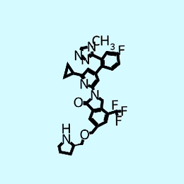 Cn1cnnc1-c1cc(F)ccc1-c1cc(C2CC2)nc(N2Cc3c(cc(COC[C@H]4CCCN4)cc3C(F)(F)F)C2=O)c1